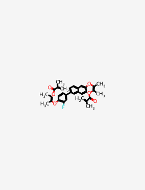 C=C(C)C(=O)OC(C)=C(C)Oc1ccc2cc(-c3ccc(OC(C)=C(C)OC(=O)C(=C)C)c(F)c3)ccc2c1